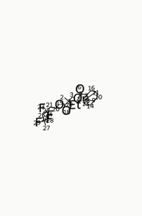 CCC(C)(COC(=O)C12CC3CC(CC(C3)C1)C2)C(=O)OCCC(F)(F)CC(C)(F)F